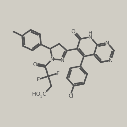 Cc1ccc(C2CC(c3c(-c4ccc(Cl)cc4)c4cncnc4[nH]c3=O)=NN2C(=O)C(F)(F)CC(=O)O)cc1